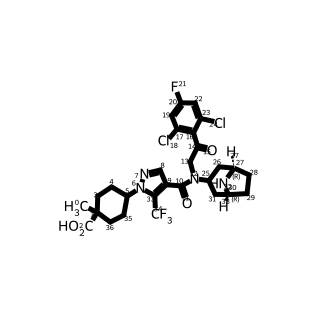 CC1(C(=O)O)CCC(n2ncc(C(=O)N(CC(=O)c3c(Cl)cc(F)cc3Cl)C3C[C@H]4CC[C@H](C3)N4)c2C(F)(F)F)CC1